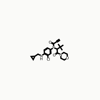 C#CC(=O)N(c1ccc(NCC2CC2)c(Cl)c1)C(C(=O)N1CCOCC1)C(C)(C)C